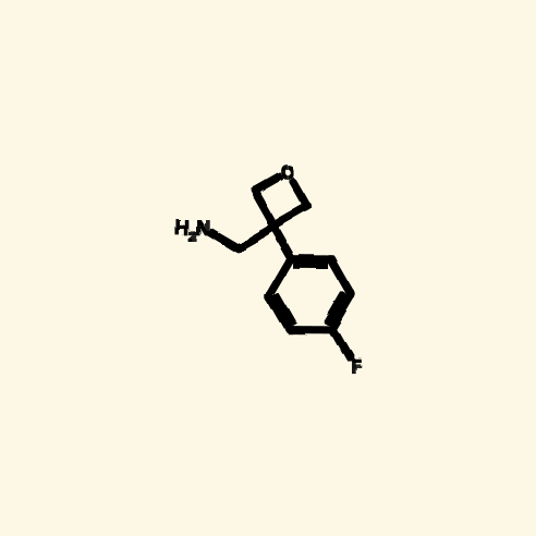 NCC1(c2ccc(F)cc2)COC1